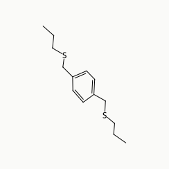 CCCSCc1ccc(CSCCC)cc1